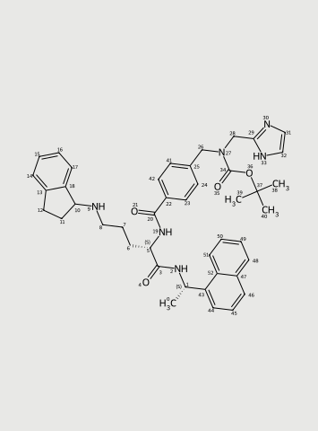 C[C@H](NC(=O)[C@H](CCCNC1CCc2ccccc21)NC(=O)c1ccc(CN(Cc2ncc[nH]2)C(=O)OC(C)(C)C)cc1)c1cccc2ccccc12